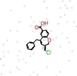 O=C(O)c1ccc2c(c1)C(Cc1ccccc1)=C/C(=C/Cl)CO2